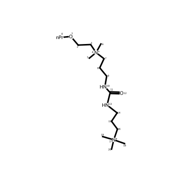 CCCOCC[N+](C)(C)CCCNC(=O)NCCC[N+](C)(C)C